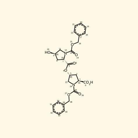 O=C(O)[C@@H]1C[C@@H](OC(=O)[C@@H]2C[C@@H](O)CN2C(=O)OCc2ccccc2)CN1C(=O)OCc1ccccc1